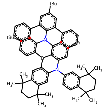 CC(C)c1cc2c3c(c1)N(c1c(-c4ccccc4)cc(C(C)(C)C)cc1-c1ccccc1)c1cc(C(C)(C)C)ccc1B3c1cc3c(cc1N2c1ccc2c(c1)C(C)(C)CCC2(C)C)C(C)(C)CCC3(C)C